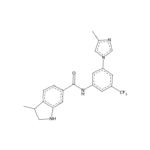 Cc1cn(-c2cc(NC(=O)c3ccc4c(c3)NCC4C)cc(C(F)(F)F)c2)cn1